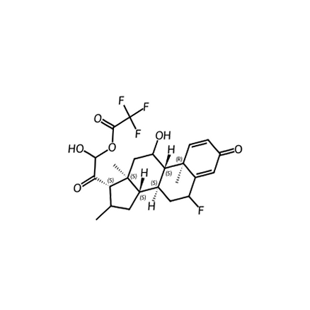 CC1C[C@H]2[C@@H]3CC(F)C4=CC(=O)C=C[C@]4(C)[C@H]3C(O)C[C@]2(C)[C@H]1C(=O)C(O)OC(=O)C(F)(F)F